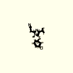 CC(C)c1nc(CC#N)n(C)c1Sc1cccc(Cl)c1